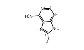 Nc1ncnc2c1N=C(F)[N]2